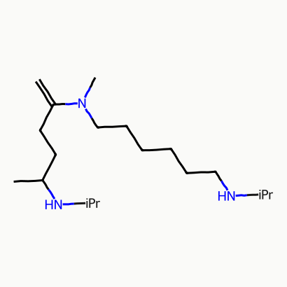 C=C(CCC(C)NC(C)C)N(C)CCCCCCNC(C)C